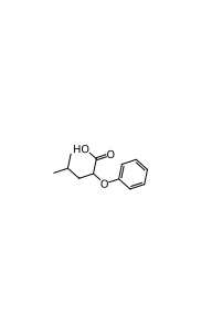 CC(C)CC(Oc1ccccc1)C(=O)O